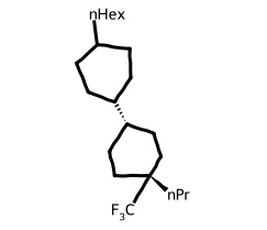 CCCCCCC1CCC([C@H]2CC[C@@](CCC)(C(F)(F)F)CC2)CC1